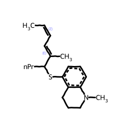 C/C=C\C=C(/C)C(CCC)Sc1cccc2c1CCCN2C